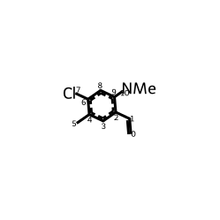 C=Cc1cc(C)c(Cl)cc1NC